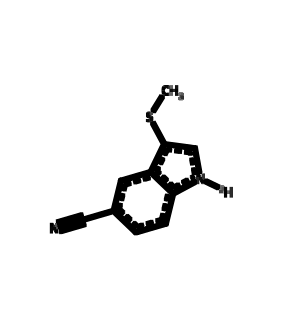 [2H]n1cc(SC)c2cc(C#N)ccc21